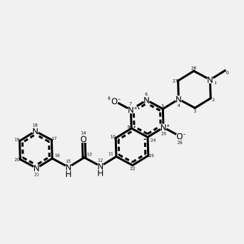 CN1CCN(c2n[n+]([O-])c3cc(NC(=O)Nc4cnccn4)ccc3[n+]2[O-])CC1